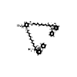 CC(C)(C)C(CCCCCCCCCCOc1ccc(CO)c(OCCCCCCCCCCC(O[SiH](c2ccccc2)c2ccccc2)C(C)(C)C)c1)O[SiH](c1ccccc1)c1ccccc1